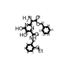 CCOc1ccccc1CNC(=O)c1nc(C(N)C(=O)OCc2ccccc2)nc(O)c1O